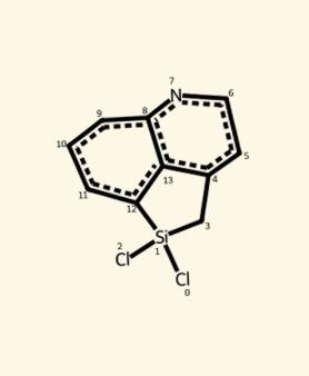 Cl[Si]1(Cl)Cc2ccnc3cccc1c23